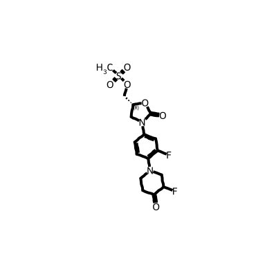 CS(=O)(=O)OC[C@H]1CN(c2ccc(N3CCC(=O)C(F)C3)c(F)c2)C(=O)O1